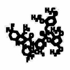 COc1ccc(CN(Cc2ccc(OC)cc2OC)S(=O)(=O)c2cc(NC(=O)c3c(N4CCC(F)(F)C(C)C4)nc4c(c3C)CC(F)(F)CC4)ccn2)c(OC)c1